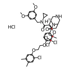 COc1cc(CN(C(=O)C2=C(c3ccc(OCCOc4cc(C)c(C)cc4Cl)cc3)CC3CNC[C@H]2N3C(=O)OC(C)(C)C(Cl)(Cl)Cl)C2CC2)cc(OC)c1.Cl